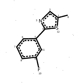 Cc1cnc(-c2cccc(F)c2)s1